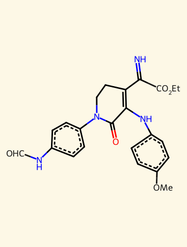 CCOC(=O)C(=N)C1=C(Nc2ccc(OC)cc2)C(=O)N(c2ccc(NC=O)cc2)CC1